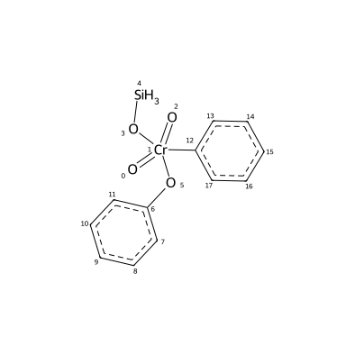 [O]=[Cr](=[O])([O][SiH3])([O]c1ccccc1)[c]1ccccc1